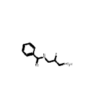 CCC(NCC(F)CS(=O)(=O)O)c1ccccc1